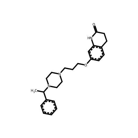 CC(c1ccccc1)N1CCN(CCCOc2ccc3c(c2)NC(=O)CC3)CC1